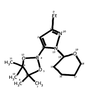 CCc1cc(B2OC(C)(C)C(C)(C)O2)n(C2CCCCO2)n1